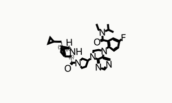 CCN(C(=O)c1cc(F)ccc1N1CCN(C2CCN(C(=O)[C@H]3N[C@H]4C=C3C[C@@H]4CC3CC3)C2)c2ncncc21)C(C)C